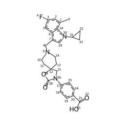 Cc1cc(F)cc2c(CN3CCC4(CC3)CN(c3ccc(C(=O)O)cc3)C(=O)O4)cn(C3CC3)c12